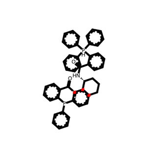 O=C(N[C@@H]1CCCC[C@H]1NC(=O)c1ccccc1[PH](c1ccccc1)(c1ccccc1)c1ccccc1)c1ccccc1P(c1ccccc1)c1ccccc1